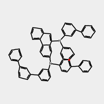 c1ccc(-c2ccc(N(c3cccc(-c4cccc(-c5ccccc5)c4)c3)c3ccc4c(c3)c(N(c3ccccc3)c3cccc(-c5ccccc5)c3)cc3ccccc34)cc2)cc1